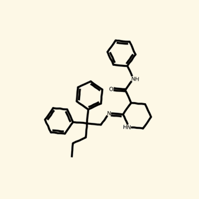 CCCC(C/N=C1\NCCCC1C(=O)Nc1ccccc1)(c1ccccc1)c1ccccc1